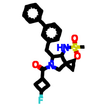 CS(=O)(=O)NC1C(Cc2cccc(-c3ccccc3)c2)N(C(=O)C2CC(F)C2)CC12CC2